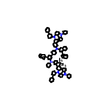 CC1(C)c2ccc(N(c3ccccc3)c3cc(-c4ccc(N(c5ccc6cc(N(c7cccc(-c8ccccc8)c7)c7cccc8c7c7ccccc7n8-c7ccccc7)ccc6c5)c5cc(C6C7CC8CC(C7)CC6C8)c6ccccc6c5)cc4)cc(C45CC6CC(CC(C6)C4)C5)c3)cc2-c2cc(N(c3cccc(-c4ccccc4)c3)c3cccc4c3c3ccccc3n4-c3ccccc3)ccc21